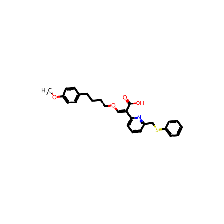 COc1ccc(CCCCOC=C(C(=O)O)c2cccc(CSc3ccccc3)n2)cc1